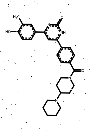 Cc1cc(-c2cc(-c3ccc(C(=O)N4CCC(N5CCCCC5)CC4)cc3)[nH]c(=O)n2)ccc1O